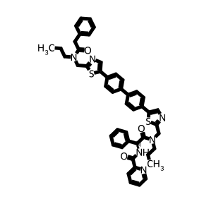 CCCN(Cc1ncc(-c2ccc(-c3ccc(-c4cnc(CN(CCC)C(=O)[C@@H](NC(=O)c5ccccn5)c5ccccc5)s4)cc3)cc2)s1)C(=O)Cc1ccccc1